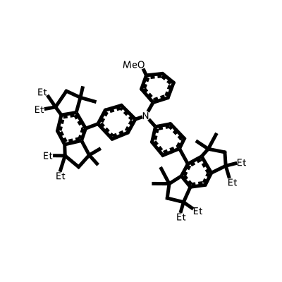 CCC1(CC)CC(C)(C)c2c1cc1c(c2-c2ccc(N(c3ccc(-c4c5c(cc6c4C(C)(C)CC6(CC)CC)C(CC)(CC)CC5(C)C)cc3)c3cccc(OC)c3)cc2)C(C)(C)CC1(CC)CC